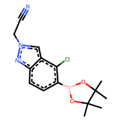 CC1(C)OB(c2ccc3nn(CC#N)cc3c2Cl)OC1(C)C